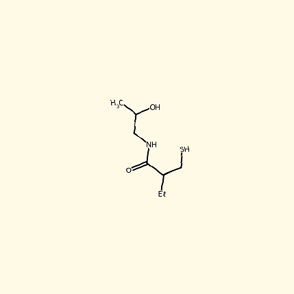 CCC(CS)C(=O)NCC(C)O